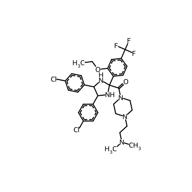 CCOc1cc(C(F)(F)F)ccc1C1(C(=O)N2CCN(CCN(C)C)CC2)NC(c2ccc(Cl)cc2)C(c2ccc(Cl)cc2)N1